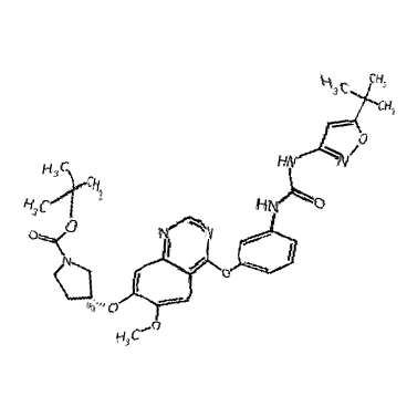 COc1cc2c(Oc3cccc(NC(=O)Nc4cc(C(C)(C)C)on4)c3)ncnc2cc1O[C@@H]1CCN(C(=O)OC(C)(C)C)C1